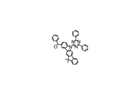 CC1(C)c2ccccc2-c2cc3c(cc21)c1cc(C(=O)c2ccccc2)ccc1n3-c1nc(-c2ccccc2)nc(-c2ccccc2)n1